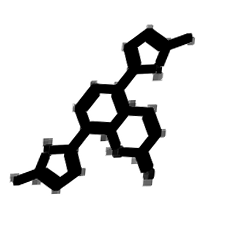 Cc1ccc(-c2ccc(-c3ccc(C)s3)c3oc(=O)ccc23)s1